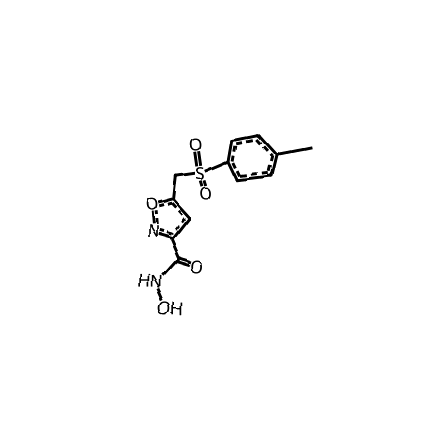 Cc1ccc(S(=O)(=O)Cc2cc(C(=O)NO)no2)cc1